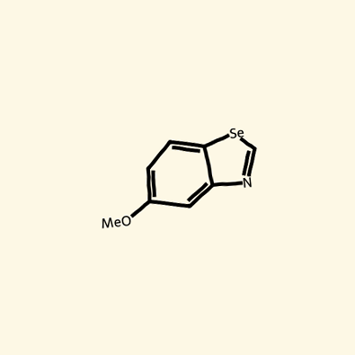 COc1ccc2[se]cnc2c1